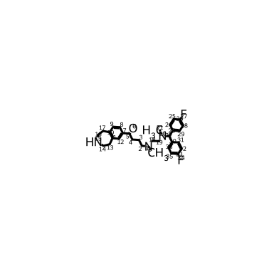 CN(CCCC(=O)c1ccc2c(c1)CCNCC2)CCN(C)C(c1ccc(F)cc1)c1ccc(F)cc1